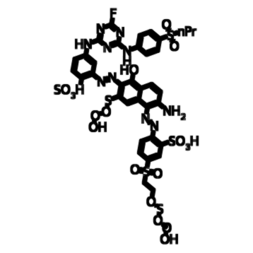 CCCS(=O)(=O)c1ccc(Nc2nc(F)nc(Nc3ccc(S(=O)(=O)O)c(/N=N/c4c(SOOO)cc5c(/N=N/c6ccc(S(=O)(=O)CCOSOOO)cc6S(=O)(=O)O)c(N)ccc5c4O)c3)n2)cc1